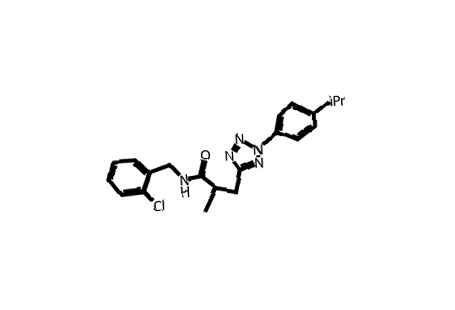 CC(Cc1nnn(-c2ccc(C(C)C)cc2)n1)C(=O)NCc1ccccc1Cl